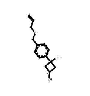 C=CCOCc1ccc(C2(OC)CC(O)C2)cc1